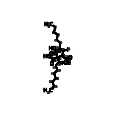 CCCCCCCC(I)C(C(=O)O)C(C(=O)O)(C(I)CCCCCCC)S(=O)(=O)O